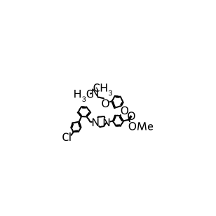 COC(=O)c1ccc(N2CCN(Cc3ccccc3-c3ccc(Cl)cc3)CC2)cc1Oc1cccc(OCCN(C)C)c1